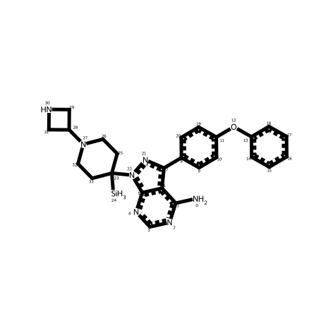 Nc1ncnc2c1c(-c1ccc(Oc3ccccc3)cc1)nn2C1([SiH3])CCN(C2CNC2)CC1